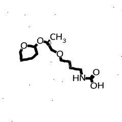 C[C@@H](COCCCCNC(=O)O)OC1CCCCO1